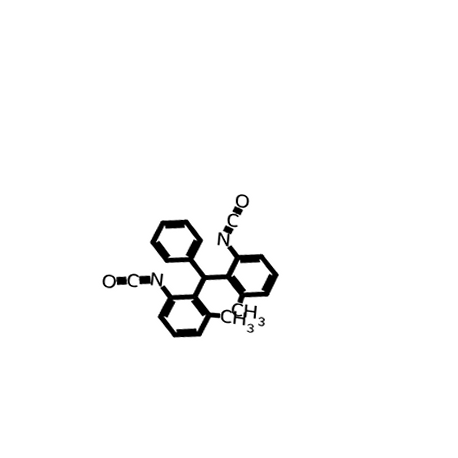 Cc1cccc(N=C=O)c1C(c1ccccc1)c1c(C)cccc1N=C=O